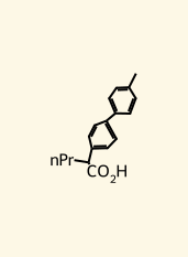 CCCC(C(=O)O)c1ccc(-c2ccc(C)cc2)cc1